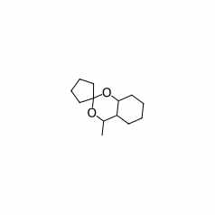 CC1OC2(CCCC2)OC2CCCCC12